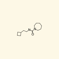 O=C([N]CCC1CCC1)N1CCCCCC1